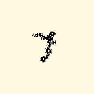 CC(=O)NCCNc1nc(-c2ccccc2)nc2[nH]c(COC3CCN(CCCc4ccccc4)CC3)cc12